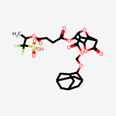 CC(OC(=O)CCC(=O)OC1C2OC(=O)C3C2OC1C3C(=O)OCOC1C2CC3CC(C2)CC1C3)C(F)(F)S(=O)(=O)O